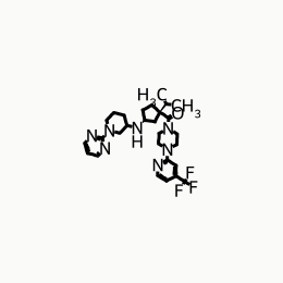 CC(C)[C@]1(C(=O)N2CCN(c3cc(C(F)(F)F)ccn3)CC2)CC[C@@H](NC2CCCN(c3ncccn3)C2)C1